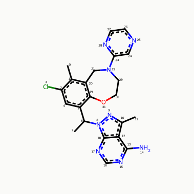 Cc1c(Cl)cc(C(C)n2nc(C)c3c(N)ncnc32)c2c1CN(c1cnccn1)CCO2